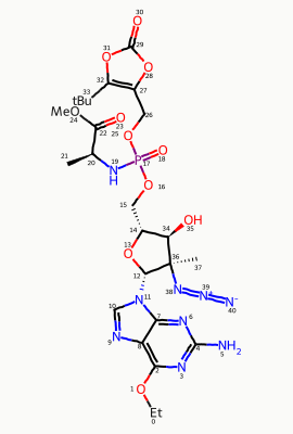 CCOc1nc(N)nc2c1ncn2[C@@H]1O[C@H](COP(=O)(N[C@@H](C)C(=O)OC)OCc2oc(=O)oc2C(C)(C)C)[C@@H](O)[C@@]1(C)N=[N+]=[N-]